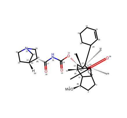 CO[C@@H]1CCC23CC[C@@H](C)[C@](C)(C12)[C@H](OC(=O)NC(=O)[C@H]1CN2CC[C@@H]1C2)C[C@@](C)(C1C=CCCC1)C(=O)[C@@H]3C